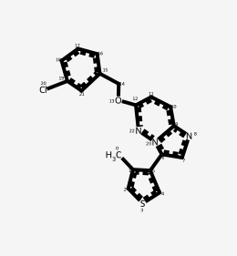 Cc1cscc1-c1cnc2ccc(OCc3cccc(Cl)c3)nn12